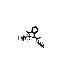 CC(N=[N+]=[N-])c1ccccc1C(C(=O)O)C(C)N=[N+]=[N-]